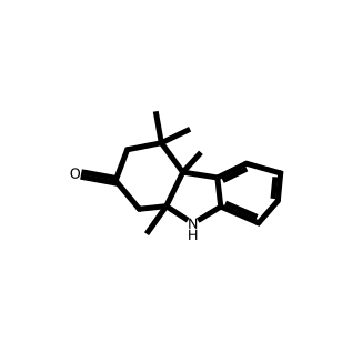 CC1(C)CC(=O)CC2(C)Nc3ccccc3C12C